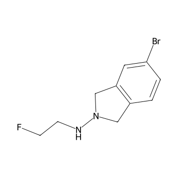 FCCNN1Cc2ccc(Br)cc2C1